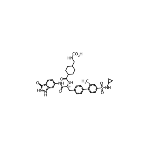 Cc1cc(S(=O)(=O)NC2CC2)ccc1-c1ccc(C[C@H](NC(=O)C2CCC(CNC(=O)O)CC2)C(=O)Nc2ccc3c(=O)[nH][nH]c3c2)cc1